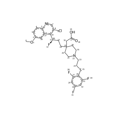 COc1ccc2ncc(Cl)c([C@H](F)CCC3(CC(=O)O)CCN(CCSc4c(F)cc(F)cc4F)CC3)c2c1